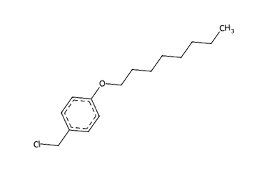 CCCCCCCCOc1ccc(CCl)cc1